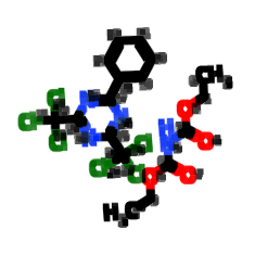 CCOC(=O)NC(=O)OCC.ClC(Cl)(Cl)c1nc(-c2ccccc2)nc(C(Cl)(Cl)Cl)n1